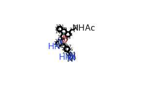 CC(=O)NCCc1ccccc1Cc1ccccc1CCC(=O)N1CCNCC1Cc1ccc(-c2nnn[nH]2)cc1